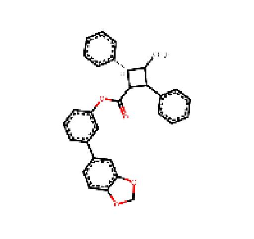 O=C(O)C1C(c2ccccc2)C(C(=O)Oc2cccc(-c3ccc4c(c3)OCO4)c2)[C@@H]1c1ccccc1